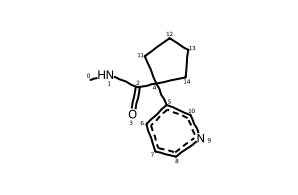 CNC(=O)C1(c2cccnc2)CCCC1